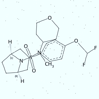 CN(C1CCOCC1)C1C[C@H]2CC[C@@H](C1)N2S(=O)(=O)c1ccc(OC(F)F)cc1